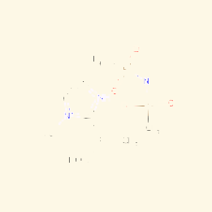 CC(C(=O)O)c1[nH]cc[n+]1C.O=S(=O)([N-]S(=O)(=O)C(F)(F)F)C(F)(F)F